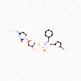 Nc1ccn([C@@H]2O[C@H](COP(=O)(NCc3ccccc3)OCc3ccc([N+](=O)[O-])o3)[C@@H](O)[C@@H]2O)c(=O)n1